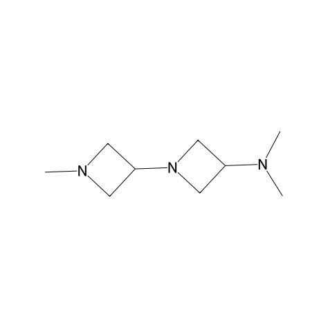 CN1CC(N2CC(N(C)C)C2)C1